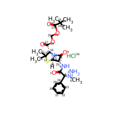 CN(N)[C@@H](C(=O)N[C@H]1C(=O)N2[C@@H]1SC(C)(C)[C@@H]2C(=O)OCOC(=O)C(C)(C)C)c1ccccc1.Cl